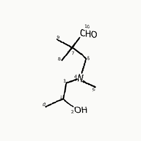 CC(O)CN(C)CC(C)(C)C=O